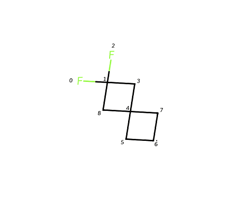 FC1(F)CC2(C[CH]C2)C1